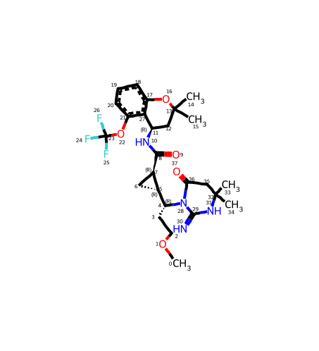 COCC[C@H]([C@@H]1C[C@H]1C(=O)N[C@@H]1CC(C)(C)Oc2cccc(OC(F)(F)F)c21)N1C(=N)NC(C)(C)CC1=O